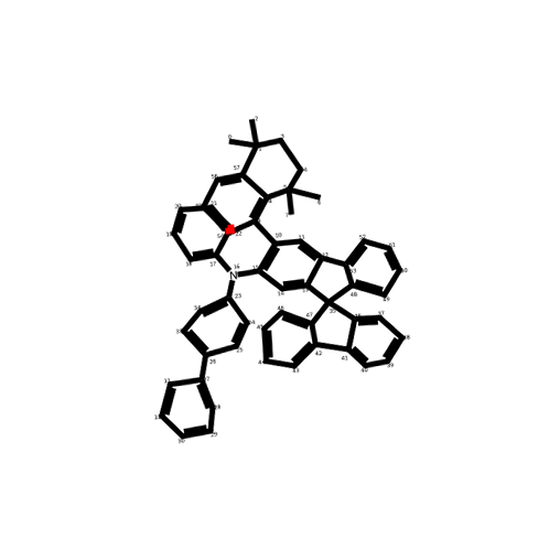 CC1(C)CCC(C)(C)c2c(-c3cc4c(cc3N(c3ccccc3)c3ccc(-c5ccccc5)cc3)C3(c5ccccc5-c5ccccc53)c3ccccc3-4)cccc21